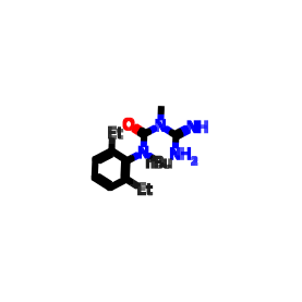 CCCCN(C(=O)N(C)C(=N)N)c1c(CC)cccc1CC